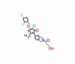 Cc1nc(OCc2ccc(F)cc2F)c(Cl)c(=O)n1-c1ccc2c(c1)CN(C(=O)CCO)C2